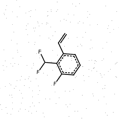 C=Cc1cccc(F)c1C(F)F